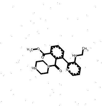 CCNc1cccnc1-c1cccc(C(=O)OC)c1C(=O)N1CCNCC1